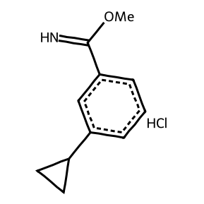 COC(=N)c1cccc(C2CC2)c1.Cl